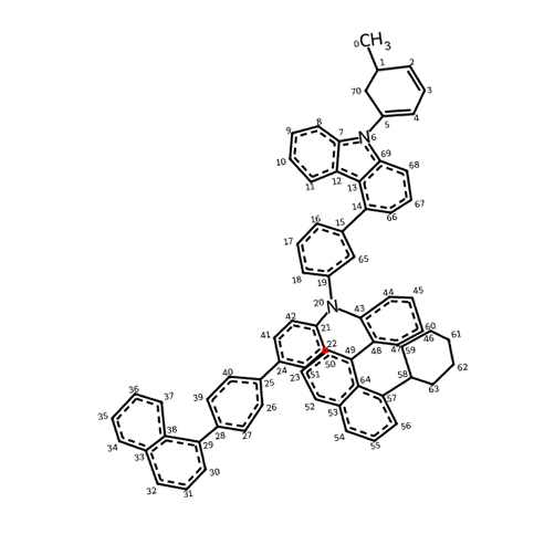 CC1C=CC=C(n2c3ccccc3c3c(-c4cccc(N(c5ccc(-c6ccc(-c7cccc8ccccc78)cc6)cc5)c5ccccc5-c5cccc6cccc(C7CCCCC7)c56)c4)cccc32)C1